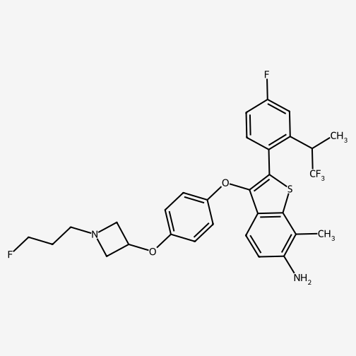 Cc1c(N)ccc2c(Oc3ccc(OC4CN(CCCF)C4)cc3)c(-c3ccc(F)cc3C(C)C(F)(F)F)sc12